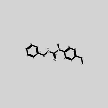 C[CH]c1ccc(N(C)C(=O)OCc2ccccc2)cc1